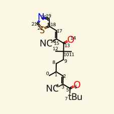 CC(/C=C(\C#N)C(=O)C(C)(C)C)CCC(C)(C)C(=O)/C(C#N)=C/c1cncs1